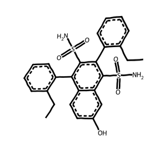 CCc1ccccc1-c1c(S(N)(=O)=O)c(-c2ccccc2CC)c2ccc(O)cc2c1S(N)(=O)=O